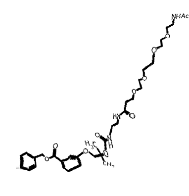 CC(=O)NCCOCCOCCOCCOCCC(=O)NCCNC(=O)OC(C)(C)COc1cccc(C(=O)OCc2ccccc2)c1